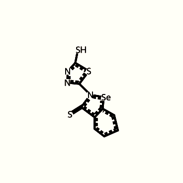 S=c1c2ccccc2[se]n1-c1nnc(S)s1